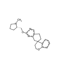 CN1CCC[C@H]1COc1ncc2c(n1)CC1(CCOc3ccccc31)CC2